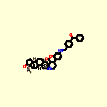 C[C@]12CC[C@]3(C[C@@H]1CC[C@@H]1[C@@H]2CC[C@]2(C)C(=O)CC[C@@H]12)NCCc1c3c(=O)oc2cc(NCc3ccc(C(=O)c4ccccc4)cc3)ccc12